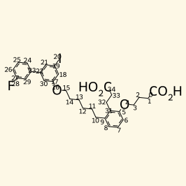 O=C(O)CCCOc1cccc(CCCCCCOc2cc(I)cc(-c3cccc(F)c3)c2)c1CCC(=O)O